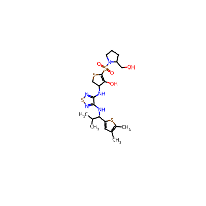 Cc1cc([C@H](Nc2nsnc2NC2CSC(S(=O)(=O)N3CCCC3CO)=C2O)C(C)C)sc1C